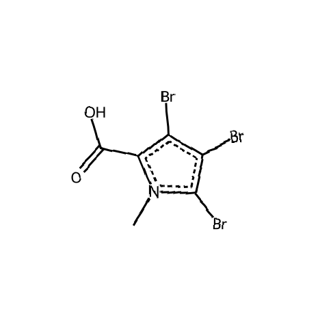 Cn1c(Br)c(Br)c(Br)c1C(=O)O